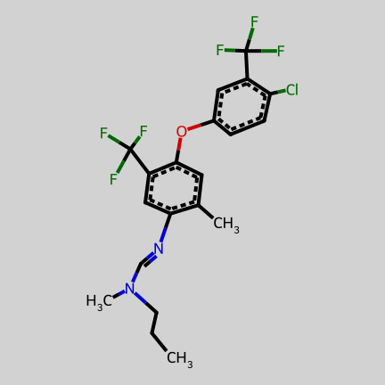 CCCN(C)/C=N/c1cc(C(F)(F)F)c(Oc2ccc(Cl)c(C(F)(F)F)c2)cc1C